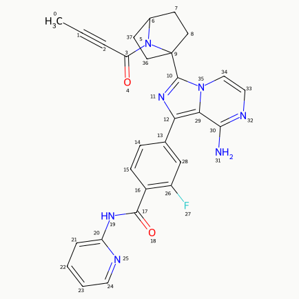 CC#CC(=O)N1C2CCC1(c1nc(-c3ccc(C(=O)Nc4ccccn4)c(F)c3)c3c(N)nccn13)CC2